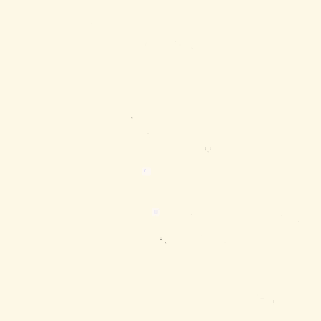 C=C(/C=C/C=C1/N(CCCCCC(=O)O)c2ccc3c(S(=O)(=O)O)cc(S(=O)(=O)O)cc3c2C1(C)CCOC)C(C)(C)c1c(C)ccc2c(S(=O)(=O)O)cc(S(=O)(=O)O)cc12